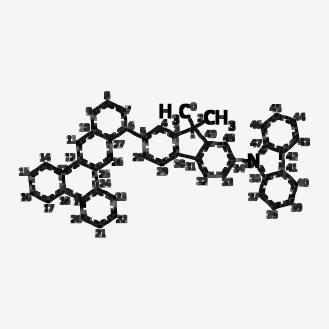 CC1(C)c2cc(-c3cccc4cc5c6ccccc6c6ccccc6c5cc34)ccc2-c2ccc(-n3c4ccccc4c4ccccc43)cc21